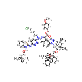 COc1ccc(COC(=O)c2nc(N(CCCCCCl)c3cc(C)c(/N=c4\sc5ccccc5n4COCC[Si](C)(C)C)nn3)ccc2-c2cnn(CC34CC5(C)CC(C)(C3)CC(OCCO[Si](c3ccccc3)(c3ccccc3)C(C)(C)C)(C5)C4)c2C)cc1